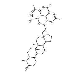 CC(=O)OC1C(CCC23CCCC2C2CCC4C5(C)CCC(=O)C(C)C5CCC4(C)[C@]2(C)CC3)OC(C(=O)O)C(OC(C)=O)C1OC(C)=O